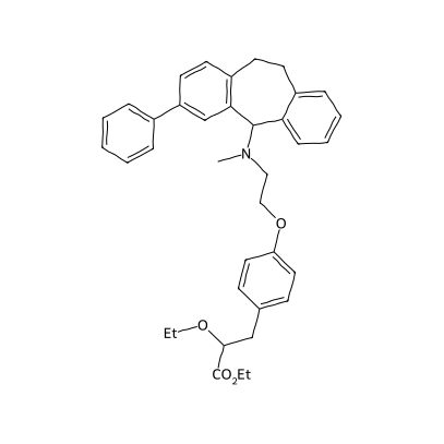 CCOC(=O)C(Cc1ccc(OCCN(C)C2c3ccccc3CCc3ccc(-c4ccccc4)cc32)cc1)OCC